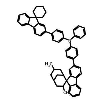 CC1CC2CC(C)C3(c4ccccc4-c4ccc(-c5ccc(N(c6ccccc6)c6ccc(-c7ccc8c(c7)C7(CCCCC7)c7ccccc7-8)cc6)cc5)cc43)C(C1)C2